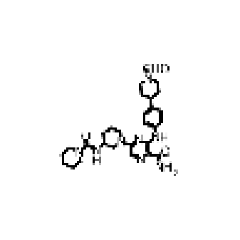 NC(=O)c1ncc(N2CCCC(NC(=O)N3CCCCC3)C2)nc1Nc1ccc(C2CCN(C=O)CC2)cc1